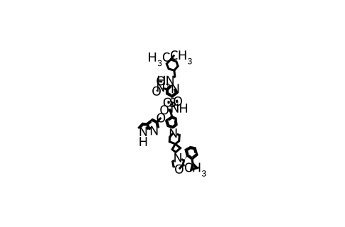 CC1OCCN(C2CC3(CCN(c4ccc(C(=O)NS(=O)(=O)c5cnc(NCC6CCC(C)(C)CC6)c([N+](=O)[O-])c5)c(Oc5cnc6[nH]ccc6c5)c4)CC3)C2)[C@@H]1c1ccccc1C1CC1